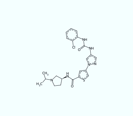 CC(C)N1CC[C@H](NC(=O)c2cc(-n3cc(NC(=O)Nc4ccccc4Cl)cn3)cs2)C1